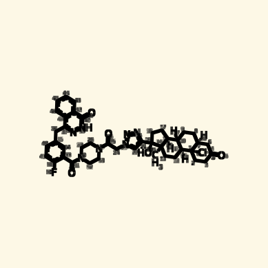 C[C@]12CCC(=O)C[C@@H]1CC[C@@H]1[C@@H]2CC[C@@]2(C)[C@H]1CC[C@@]2(O)c1cn(CC(=O)N2CCN(C(=O)c3cc(Cc4n[nH]c(=O)c5ccccc45)ccc3F)CC2)nn1